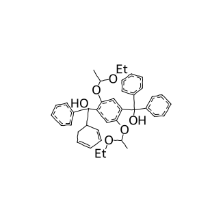 CCOC(C)Oc1cc(C(O)(c2ccccc2)C2C=CC=CC2)c(OC(C)OCC)cc1C(O)(c1ccccc1)c1ccccc1